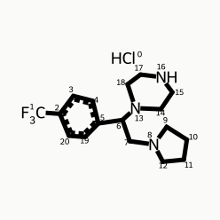 Cl.FC(F)(F)c1ccc(C(CN2CCCC2)N2CCNCC2)cc1